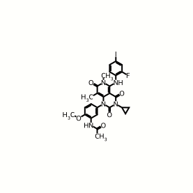 COc1ccc(-n2c(=O)n(C3CC3)c(=O)c3c(Nc4ccc(I)cc4F)n(C)c(=O)c(C)c32)cc1NC(C)=O